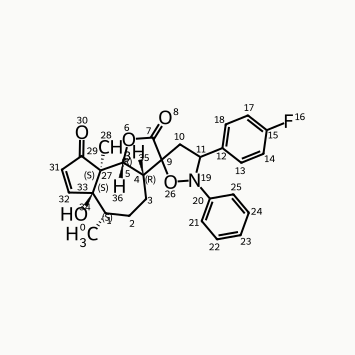 C[C@H]1CC[C@@H]2[C@@H](OC(=O)C23CC(c2ccc(F)cc2)N(c2ccccc2)O3)[C@]2(C)C(=O)C=C[C@@]12O